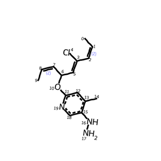 C/C=C\C(Cl)=CC(/C=C\C)Oc1cc(C)c(NN)cn1